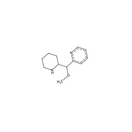 COC(c1ccccn1)C1CCCCN1